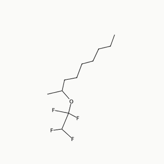 CCCCCCCC(C)OC(F)(F)C(F)F